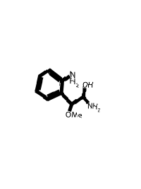 COC(c1ccccc1N)C(N)O